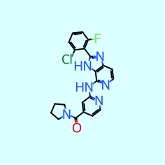 O=C(c1ccnc(Nc2nccc3nc(-c4c(F)cccc4Cl)[nH]c23)c1)N1CCCC1